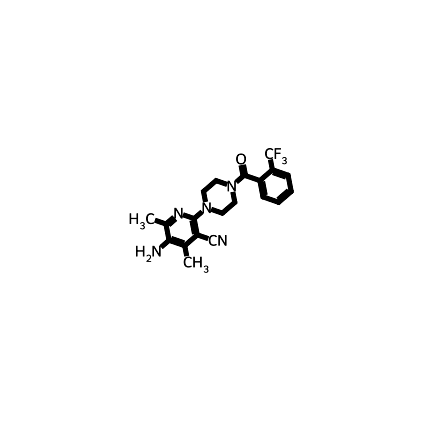 Cc1nc(N2CCN(C(=O)c3ccccc3C(F)(F)F)CC2)c(C#N)c(C)c1N